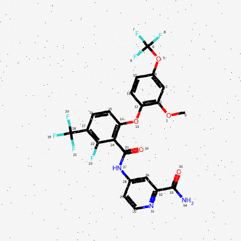 COc1cc(OC(F)(F)F)ccc1Oc1ccc(C(F)(F)F)c(F)c1C(=O)Nc1ccnc(C(N)=O)c1